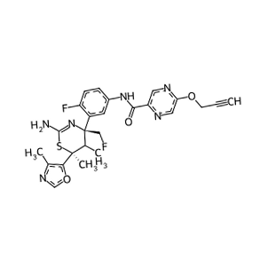 C#CCOc1cnc(C(=O)Nc2ccc(F)c([C@@]3(CF)N=C(N)S[C@](C)(c4ocnc4C)C3C)c2)cn1